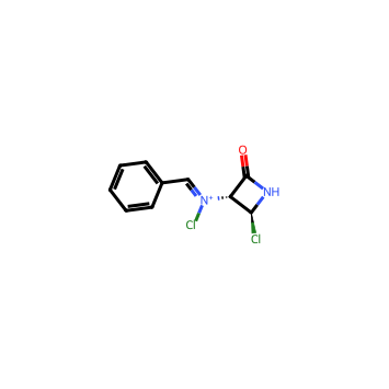 O=C1N[C@@H](Cl)[C@@H]1[N+](Cl)=Cc1ccccc1